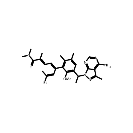 CC/C(C)=C/C(=C\C=C(/C)C(=O)N(C)C)c1c(C)c(C)cc(C(C)n2nc(C)c3c(N)ncnc32)c1OC